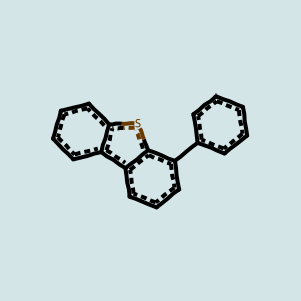 [c]1cccc(-c2cccc3c2sc2ccccc23)c1